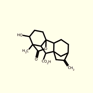 C=C1CC23CC1CCC2C12CCC(O)C(C)(C(=O)O1)C2C3C(=O)O